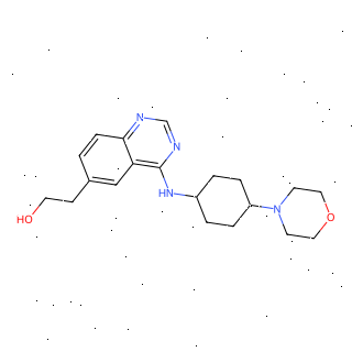 OCCc1ccc2ncnc(NC3CCC(N4CCOCC4)CC3)c2c1